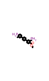 CCOC(=O)c1ccc(-c2ccc(-c3ccc(P)c(C)c3)cc2)cc1CP